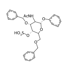 CC(=O)NC1[C@H](Oc2ccccc2)OC(COCc2ccccc2)[C@H](OS(=O)(=O)O)[C@@H]1OCc1ccccc1